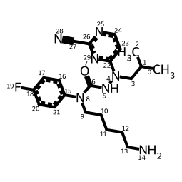 CC(C)CN(NC(=O)N(CCCCCN)c1ccc(F)cc1)c1ccnc(C#N)n1